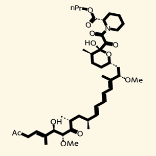 CCCOC(=O)[C@@H]1CCCCN1C(=O)C(=O)[C@]1(O)O[C@H](C[C@H](OC)/C(C)=C/C=C/C=C/[C@@H](C)C[C@@H](C)C(=O)[C@H](OC)[C@H](O)/C(C)=C/CC(C)=O)CC[C@H]1C